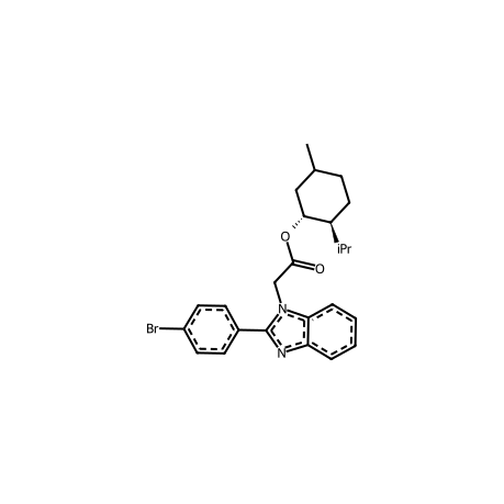 CC1CC[C@@H](C(C)C)[C@H](OC(=O)Cn2c(-c3ccc(Br)cc3)nc3ccccc32)C1